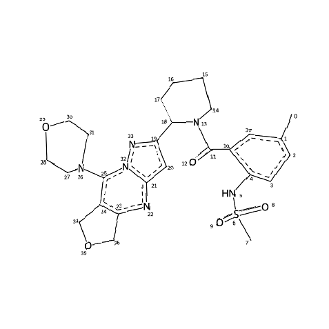 Cc1ccc(NS(C)(=O)=O)c(C(=O)N2CCCCC2c2cc3nc4c(c(N5CCOCC5)n3n2)COC4)c1